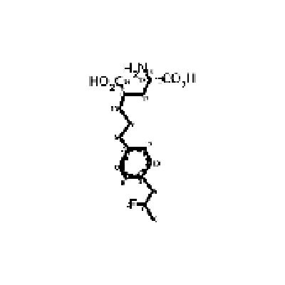 CC(F)Cc1ccc(CCC[C@@H](C[C@H](N)C(=O)O)C(=O)O)cc1